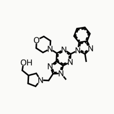 Cc1nc2ccccc2n1-c1nc(N2CCOCC2)c2nc(CN3CCC(CO)C3)n(C)c2n1